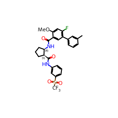 COc1cc(F)c(-c2cccc(C)c2)cc1C(=O)N[C@@H]1CCC[C@@H]1C(=O)Nc1cccc(S(=O)(=O)C(F)(F)F)c1